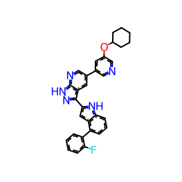 Fc1ccccc1-c1cccc2[nH]c(-c3n[nH]c4ncc(-c5cncc(OC6CCCCC6)c5)cc34)cc12